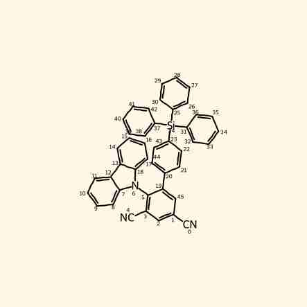 N#Cc1cc(C#N)c(-n2c3ccccc3c3ccccc32)c(-c2ccc([Si](c3ccccc3)(c3ccccc3)c3ccccc3)cc2)c1